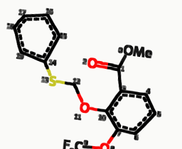 COC(=O)c1cccc(OC(F)(F)F)c1OCSc1ccccc1